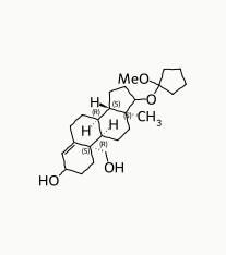 COC1(OC2CC[C@H]3[C@@H]4CCC5=CC(O)CC[C@]5(CO)[C@@H]4CC[C@]23C)CCCC1